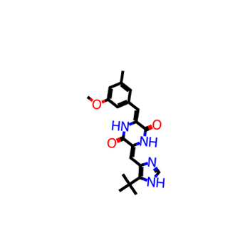 COc1cc(C)cc(/C=c2\[nH]c(=O)/c(=C/c3nc[nH]c3C(C)(C)C)[nH]c2=O)c1